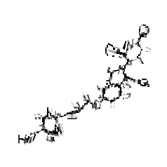 O=C1CCC(N2Cc3cc(OCC#Cc4ncc(O)cn4)ccc3C2=O)C(=O)N1